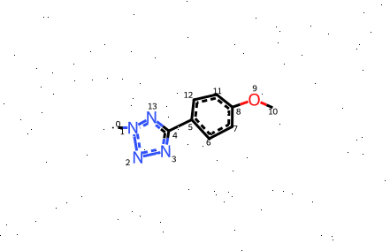 [CH2]n1nnc(-c2ccc(OC)cc2)n1